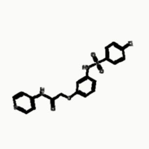 O=C(COc1cccc(NS(=O)(=O)c2ccc(Cl)cc2)c1)Nc1ccncc1